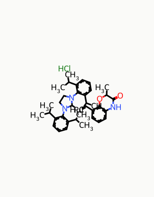 CC1Oc2c(/[CH]=[Ru]/[CH]3N(c4c(C(C)C)cccc4C(C)C)CCN3c3c(C(C)C)cccc3C(C)C)cccc2NC1=O.Cl